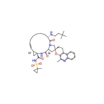 Cc1nc2ccccc2c2c1O[C@]1(CC2)C[C@H]2C(=O)N[C@]3(C(=O)NS(=O)(=O)C4(C)CC4)C[C@H]3C=CCCCCC[C@H](NCCC(C)(C)C)C(=O)N2C1